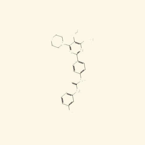 CCOc1c(C(=O)O)nc(-c2ccc(NC(=O)Nc3cccc(C(F)(F)F)c3)cc2)nc1N1CCOCC1